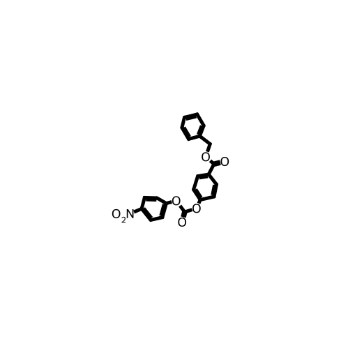 O=C(Oc1ccc(C(=O)OCc2ccccc2)cc1)Oc1ccc([N+](=O)[O-])cc1